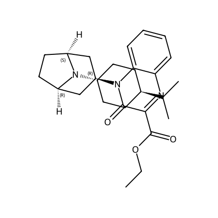 CCOC(=O)c1nc2ccccc2n([C@H]2C[C@H]3CC[C@@H](C2)N3[C@H]2CC[C@H](C(C)C)CC2)c1=O